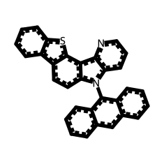 c1ccc2c(-n3c4cccnc4c4c5sc6ccccc6c5ccc43)c3ccccc3cc2c1